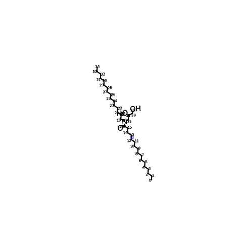 CCCCCCCCCCCC/C=C/CCC(=O)N(CCCCCCCCCCCCCCCC)CC(O)CO